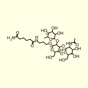 CC(=O)NC1C(O)[C@@H](O)C(CO)O[C@@H]1OC1C(O[C@@H]2OC(C)[C@@H](O)C(O)C2O)[C@H](OCCCNC(=O)CCCCC(N)=O)OC(CO)[C@@H]1O